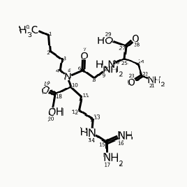 CCCCCN(C(=O)CN)C(CCCNC(=N)N)C(=O)O.NC(=O)CC(N)C(=O)O